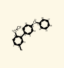 Cc1ccc(OC(F)(F)F)c(-c2ccc(Oc3ccccc3)cc2)c1